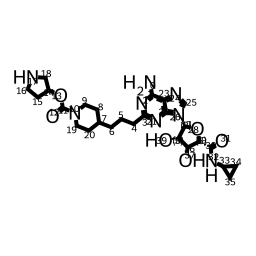 Nc1nc(CCCC2CCN(C(=O)OC3CCNC3)CC2)nc2c1ncn2[C@@H]1O[C@H](C(=O)NC2CC2)C(O)[C@@H]1O